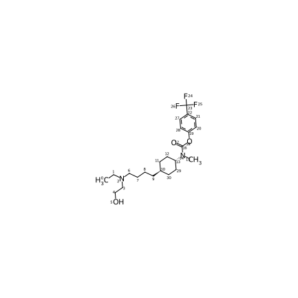 CCN(CCO)CCCC[C@H]1CC[C@H](N(C)C(=O)Oc2ccc(C(F)(F)F)cc2)CC1